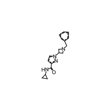 O=C(NC1CC1)c1ccn(C2CN(Cc3ccccc3)C2)n1